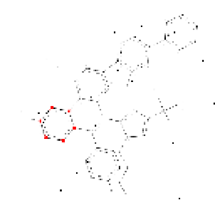 CCCCC1C=C(C(C)(C)C)C=[C]1[Zr+2](=[C](c1ccc(C)cc1)c1ccc(C)cc1)[c]1c(-c2ccccc2)ccc2c1Cc1cc(-c3ccccc3)ccc1-2.[Cl-].[Cl-]